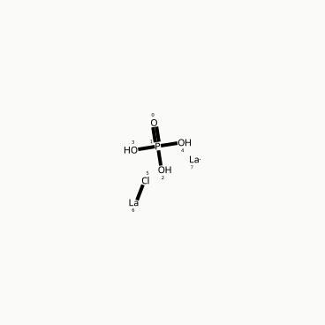 O=P(O)(O)O.[Cl][La].[La]